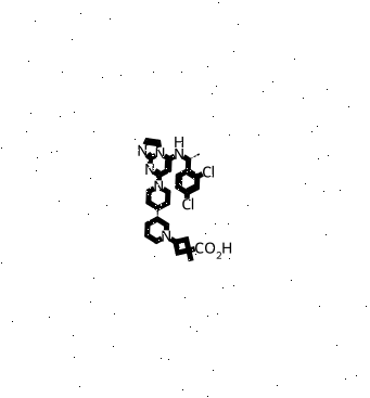 C[C@@H](Nc1cc(N2CCC([C@H]3CCCN(C4CC(C)(C(=O)O)C4)C3)CC2)nc2nccn12)c1ccc(Cl)cc1Cl